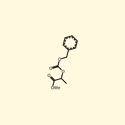 COC(=O)C(C)OC(=O)OCc1ccccc1